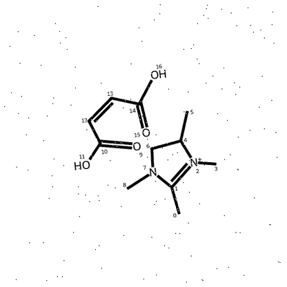 CC1=[N+](C)C(C)CN1C.O=C(O)/C=C\C(=O)O